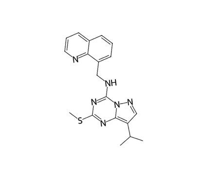 CSc1nc(NCc2cccc3cccnc23)n2ncc(C(C)C)c2n1